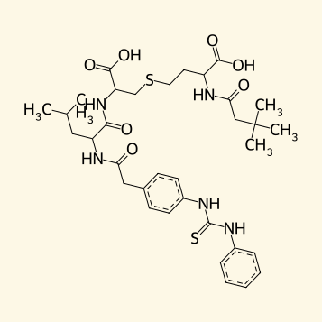 CC(C)CC(NC(=O)Cc1ccc(NC(=S)Nc2ccccc2)cc1)C(=O)NC(CSCCC(NC(=O)CC(C)(C)C)C(=O)O)C(=O)O